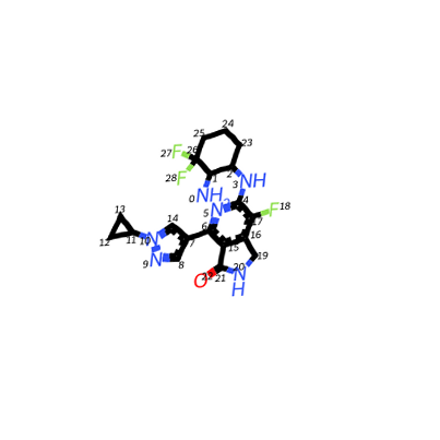 NC1C(Nc2nc(-c3cnn(C4CC4)c3)c3c(c2F)CNC3=O)CCCC1(F)F